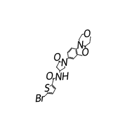 Cc1cc(N2CC(NC(=O)c3ccc(Br)s3)CC2=O)ccc1N1CCOCCC1=O